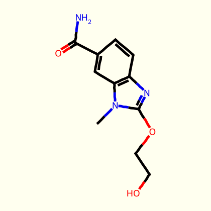 Cn1c(OCCO)nc2ccc(C(N)=O)cc21